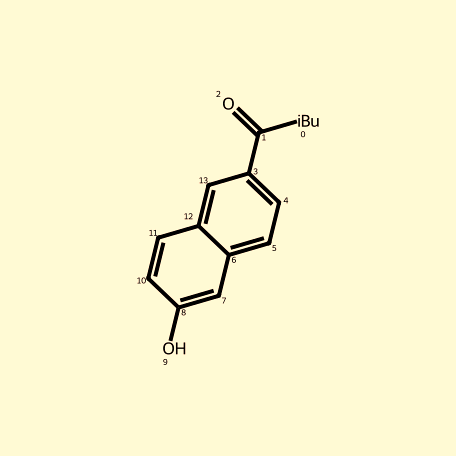 CCC(C)C(=O)c1ccc2cc(O)ccc2c1